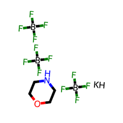 C1COCCN1.F[B-](F)(F)F.F[B-](F)(F)F.F[B-](F)(F)F.[KH]